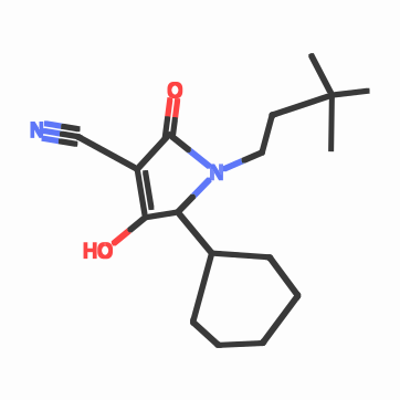 CC(C)(C)CCN1C(=O)C(C#N)=C(O)C1C1CCCCC1